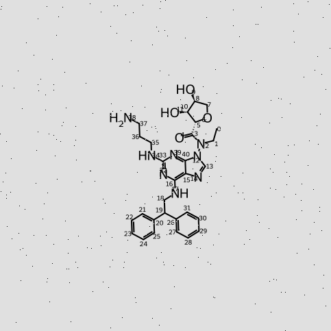 CCN(C(=O)[C@H]1OC[C@H](O)[C@@H]1O)n1cnc2c(NCC(c3ccccc3)c3ccccc3)nc(NCCCN)nc21